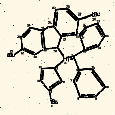 CC(C)(C)C1=C[CH]([Hf](=[C](c2ccccc2)c2ccccc2)[CH]2c3cc(C(C)(C)C)ccc3-c3ccc(C(C)(C)C)cc32)C=C1